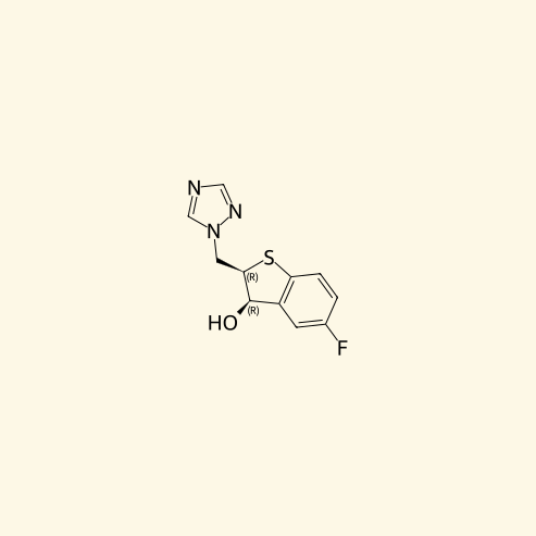 O[C@@H]1c2cc(F)ccc2S[C@@H]1Cn1cncn1